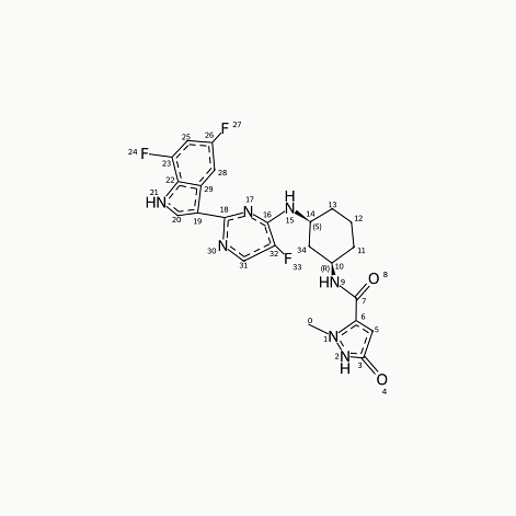 Cn1[nH]c(=O)cc1C(=O)N[C@@H]1CCC[C@H](Nc2nc(-c3c[nH]c4c(F)cc(F)cc34)ncc2F)C1